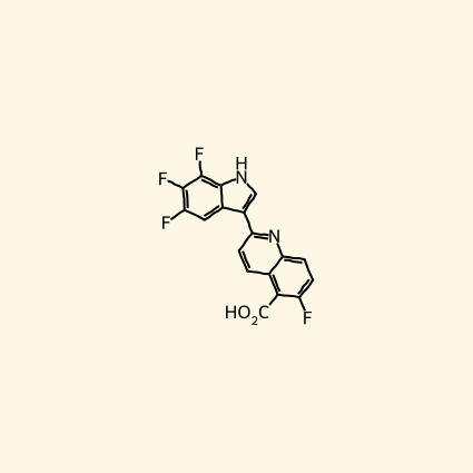 O=C(O)c1c(F)ccc2nc(-c3c[nH]c4c(F)c(F)c(F)cc34)ccc12